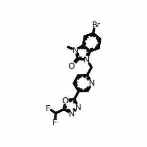 Cn1c(=O)n(Cc2ccc(-c3nnc(C(F)F)o3)cn2)c2ccc(Br)cc21